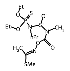 CCCN([S+]([O-])N(C)C(=O)ON=C(C)SC)P(=S)(OCC)OCC